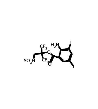 Nc1c(I)cc(I)cc1C(=O)OC(CS(=O)(=O)O)(C(F)(F)F)C(F)(F)F